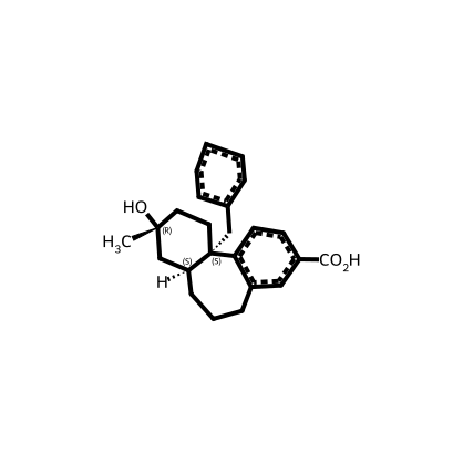 C[C@@]1(O)CC[C@@]2(Cc3ccccc3)c3ccc(C(=O)O)cc3CCC[C@H]2C1